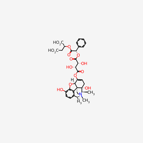 Cc1ccc(O)c2c1[C@]13CCN(C)[C@H](C)[C@]1(O)CC=C(OC(=O)[C@H](O)[C@@H](O)C(=O)O[C@H](C(=O)O[C@@H](CC(=O)O)C(=O)O)c1ccccc1)[C@@H]3O2